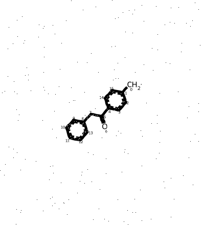 [CH2]c1ccc(C(=O)Cc2ccccc2)cc1